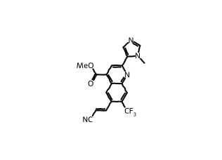 COC(=O)c1cc(-c2cncn2C)nc2cc(C(F)(F)F)c(C=CC#N)cc12